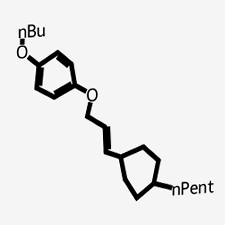 CCCCCC1CCC(/C=C/COc2ccc(OCCCC)cc2)CC1